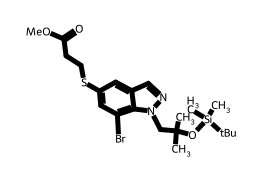 COC(=O)CCSc1cc(Br)c2c(cnn2CC(C)(C)O[Si](C)(C)C(C)(C)C)c1